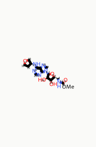 COC(=O)NC[C@H]1OC(n2cnc3c(N[C@@H]4CCOC4)ncnc32)[C@H](O)[C@@H]1O